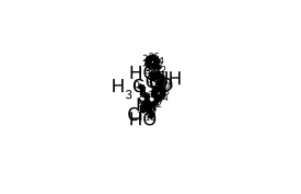 CCCCc1nc(Cl)c(CO)n1Cc1ccc(S(=O)(=O)N[C@@H](Cc2ccccc2)C(=O)O)cc1